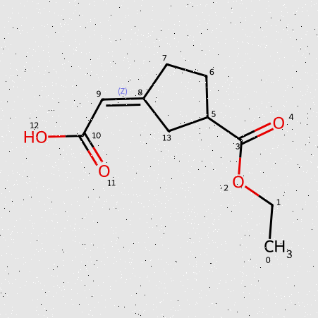 CCOC(=O)C1CC/C(=C/C(=O)O)C1